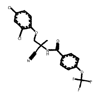 CC(C#N)(COc1ccc(Cl)cc1Cl)NC(=O)c1ccc(OC(F)(F)F)cc1